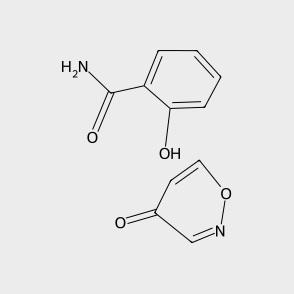 NC(=O)c1ccccc1O.O=c1cconc1